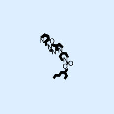 CCCCC(CC)COC(=O)N1CCC(n2ccc3c(Oc4cccnc4C)ncnc32)CC1